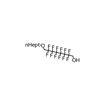 CCCCCCCOCC(F)(F)C(F)(F)C(F)(F)C(F)(F)C(F)(F)C(F)(F)CO